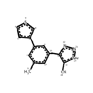 Cc1cc(-c2ccsc2)cc(-c2nn[nH]c2C#N)c1